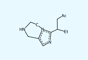 CCC(CC(C)=O)c1ncc2n1CCNC2